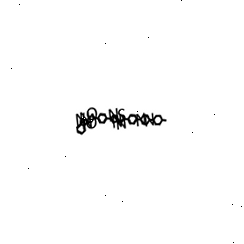 CC1CCC(N2CCN(c3ccc(-c4nn5cc(-c6ccc(C(=O)On7nnc8ccccc87)cc6)nc5s4)cc3)CC2)CC1